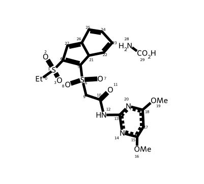 CCS(=O)(=O)C1=C(S(=O)(=O)CC(=O)Nc2nc(OC)cc(OC)n2)C2C=CC=CC2=C1.NC(=O)O